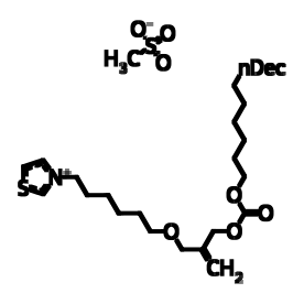 C=C(COCCCCCC[n+]1ccsc1)COC(=O)OCCCCCCCCCCCCCCCC.CS(=O)(=O)[O-]